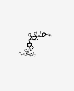 CN(C)C(=O)N1CCc2cc(Cn3cnc(OCc4ccc(F)cc4F)c(Cl)c3=O)ccc21